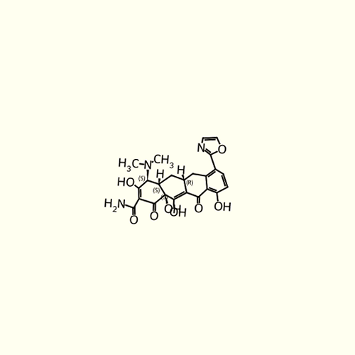 CN(C)[C@@H]1C(O)=C(C(N)=O)C(=O)[C@@]2(O)C(O)=C3C(=O)c4c(O)ccc(-c5ncco5)c4C[C@H]3C[C@@H]12